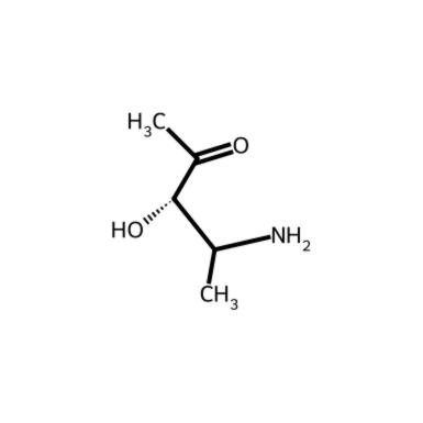 CC(=O)[C@@H](O)C(C)N